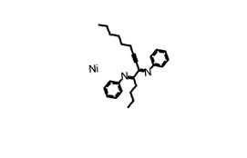 CCCCCCC#CC(=N\c1ccccc1)/C(CCCC)=N/c1ccccc1.[Ni]